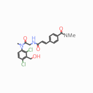 CNC(=O)c1ccc(/C=C/C(=O)NCC(=O)N(C)c2ccc(Cl)c(CO)c2Cl)cc1